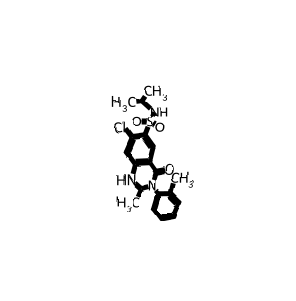 Cc1ccccc1N1C(=O)c2cc(S(=O)(=O)NC(C)C)c(Cl)cc2NC1C